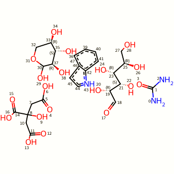 NC(N)=O.O=C(O)CC(O)(CC(=O)O)C(=O)O.O=C[C@H](O)[C@@H](O)[C@H](O)[C@H](O)CO.OC1OC[C@@H](O)[C@H](O)[C@H]1O.c1ccc2[nH]ccc2c1